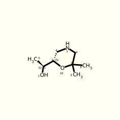 C[C@H](O)[C@@H]1CNCC(C)(C)O1